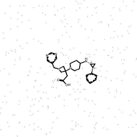 O=C(O)CC1(N2CCC(N[C@@H]3C[C@H]3c3ccccc3)CC2)CN(Cc2cncnc2)C1